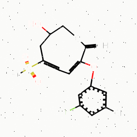 C=C1CCC(O)C/C(S(=O)(=O)CC)=C\C=C/1Oc1cc(F)cc(C#N)c1